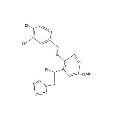 CCC(Cn1ccnc1)c1cc(OC)ccc1SCc1ccc(Cl)c(Cl)c1